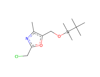 Cc1nc(CCl)oc1CO[Si](C)(C)C(C)(C)C